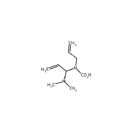 C=CCN(C(=O)O)C(C=C)N(C)C